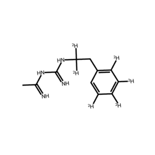 [2H]c1cc(CC([2H])([2H])NC(=N)NC(C)=N)c([2H])c([2H])c1[2H]